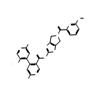 COc1cnc(Cl)cc1-c1cc(C)ncc1C(=O)Nc1nc2c(s1)CN(C(=O)c1cccc(OC(F)(F)F)n1)C2